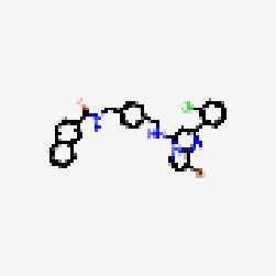 O=C(NCc1ccc(CNc2cc(-c3ccccc3Cl)nc3c(Br)ccn23)cc1)c1ccc2ccccc2c1